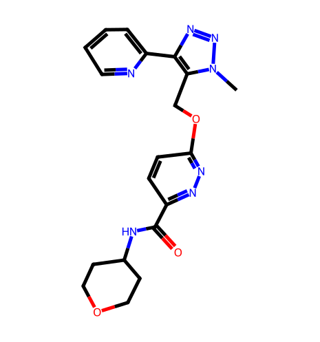 Cn1nnc(-c2ccccn2)c1COc1ccc(C(=O)NC2CCOCC2)nn1